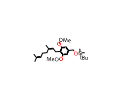 COOc1cc(CO[Si](C)(C)C(C)(C)C)cc(OOC)c1CC=C(C)CCC=C(C)C